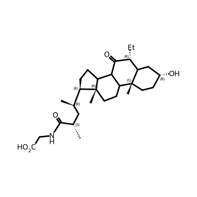 CC[C@H]1C(=O)C2C(CC[C@@]3(C)C2CC[C@@H]3[C@H](C)C[C@H](C)C(=O)NCC(=O)O)[C@@]2(C)CC[C@@H](O)CC12